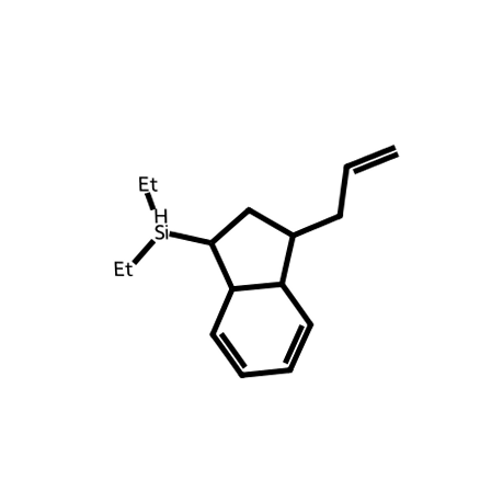 C=CCC1CC([SiH](CC)CC)C2C=CC=CC12